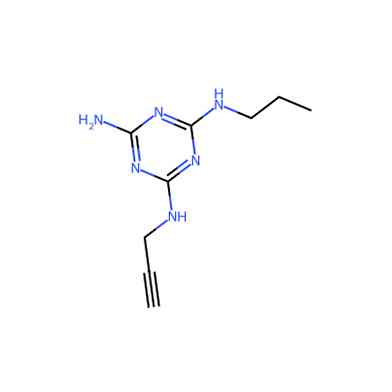 C#CCNc1nc(N)nc(NCCC)n1